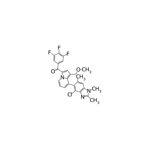 COCc1cc(C(=O)c2cc(F)c(F)c(F)c2)n2cccc(-c3c(C)cc4c(nc(C)n4C)c3Cl)c12